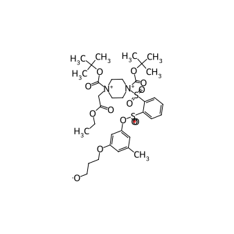 CCOC(=O)C[N+]1(C(=O)OC(C)(C)C)CC[N+](C(=O)OC(C)(C)C)(S(=O)(=O)c2ccccc2S(=O)(=O)Oc2cc(C)cc(OCCC[O])c2)CC1